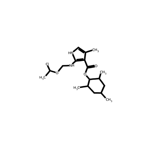 Cc1c[nH]c(NCOC(C)Cl)c1C(=O)OC1C(C)CC(C)CC1C